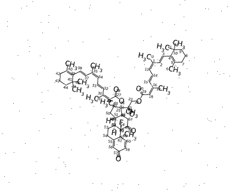 CC(C=CC1=C(C)CCCC1(C)C)=CC=CC(C)=CC(=O)OCC(=O)[C@]1(OC(=O)C=C(C)C=CC=C(C)C=CC2=C(C)CCCC2(C)C)[C@H](C)C[C@H]2[C@@H]3CCC4=CC(=O)C=C[C@]4(C)[C@@]3(F)C(=O)C[C@@]21C